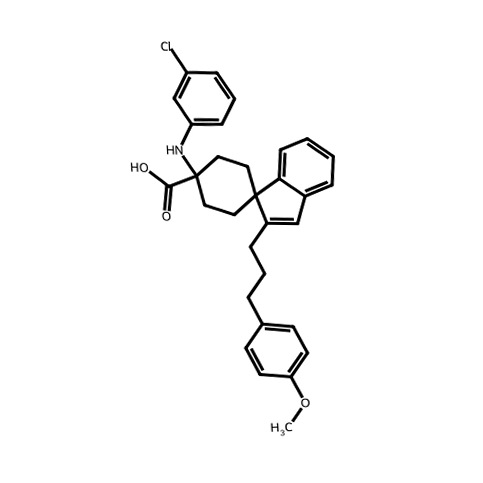 COc1ccc(CCCC2=Cc3ccccc3C23CCC(Nc2cccc(Cl)c2)(C(=O)O)CC3)cc1